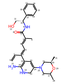 C=C/C(=C\C=C(/C)C(=O)N[C@H](CO)c1ccccc1)C1=C(N)NCC(N2CC(C)O[C@H](C)C2)=C1